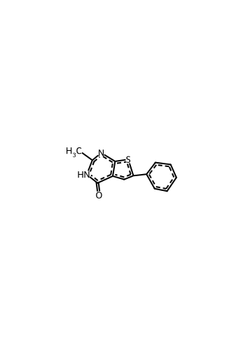 Cc1nc2sc(-c3ccccc3)cc2c(=O)[nH]1